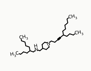 CCCCCCC(C#CCCN1CCC(CNCC(CCCC)CCCCC)CC1)CCCC